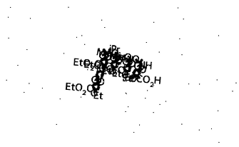 CCOC(=O)c1cc(S(=O)(=O)N(C)CC(C)C)ccc1OCC.CCOC(=O)c1cc(S(=O)(=O)N(C)OC)c(C)cc1OCC.CCOC(=O)c1cc(S(=O)(=O)N(C)OC)ccc1OCC.CCOC(=O)c1cc(S(=O)(=O)N2CCCCC2)ccc1OCC.CCOc1ccc(S(=O)(=O)NC(C)COC)cc1C(=O)O